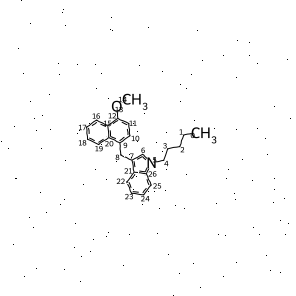 CCCCCn1cc(Cc2ccc(OC)c3ccccc23)c2ccccc21